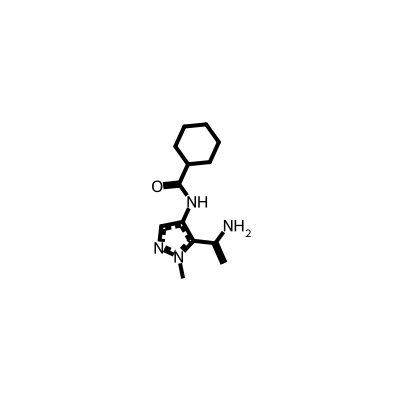 C=C(N)c1c(NC(=O)C2CCCCC2)cnn1C